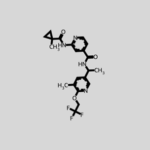 Cc1cc(C(C)NC(=O)c2ccnc(NC(=O)C3(C)CC3)c2)cnc1OCC(F)(F)F